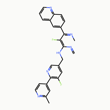 C=N/C(NCc1cnc(-c2ccnc(C)c2)c(F)c1)=C(F)\C(=N/C)c1ccc2ncccc2c1